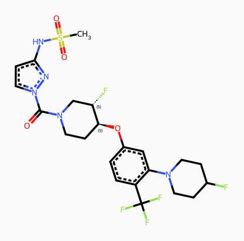 CS(=O)(=O)Nc1ccn(C(=O)N2CC[C@H](Oc3ccc(C(F)(F)F)c(N4CCC(F)CC4)c3)[C@@H](F)C2)n1